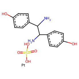 NC(c1ccc(O)cc1)C(N)c1ccc(O)cc1.O=S(=O)(O)O.[Pt]